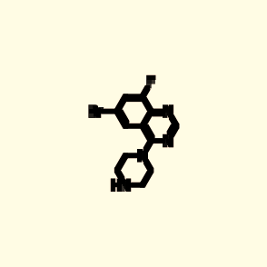 Fc1cc(Br)cc2c(N3CCNCC3)ncnc12